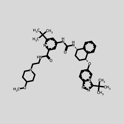 COC1CCN(CCNC(=O)c2cc(NC(=O)N[C@H]3CC[C@@H](Oc4ccc5nnc(C(C)(C)C)n5c4)c4ccccc43)cc(C(C)(C)C)n2)CC1